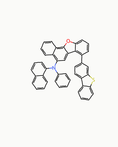 c1ccc(N(c2cccc3ccccc23)c2cc3c(oc4cccc(-c5ccc6c(c5)sc5ccccc56)c43)c3ccccc23)cc1